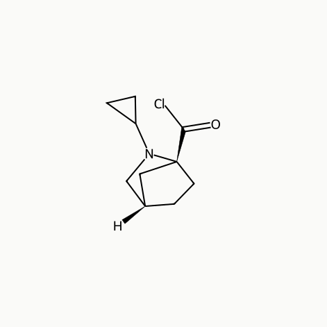 O=C(Cl)[C@]12CC[C@H](CN1C1CC1)C2